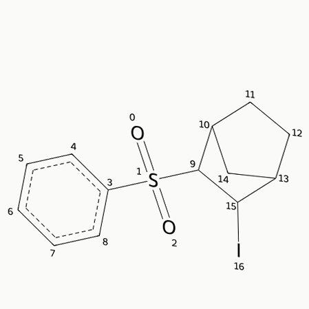 O=S(=O)(c1ccccc1)C1C2CCC(C2)C1I